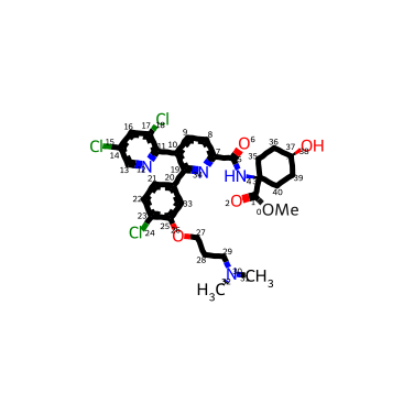 COC(=O)[C@]1(NC(=O)c2ccc(-c3ncc(Cl)cc3Cl)c(-c3ccc(Cl)c(OCCCN(C)C)c3)n2)CC[C@@H](O)CC1